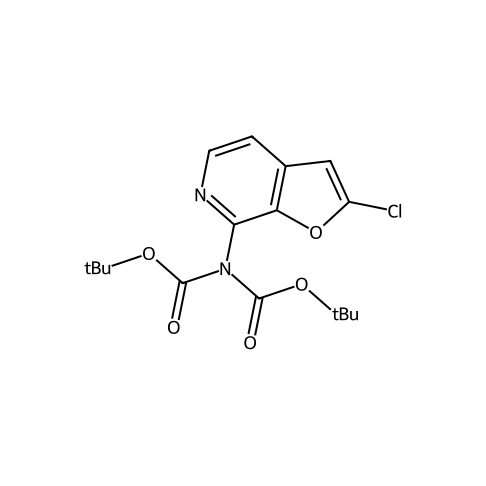 CC(C)(C)OC(=O)N(C(=O)OC(C)(C)C)c1nccc2cc(Cl)oc12